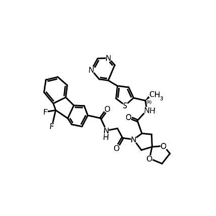 C[C@@H](NC(=O)C1CC2(CN1C(=O)CNC(=O)c1ccc3c(c1)-c1ccccc1C3(F)F)OCCO2)c1cc(-c2cncnc2)cs1